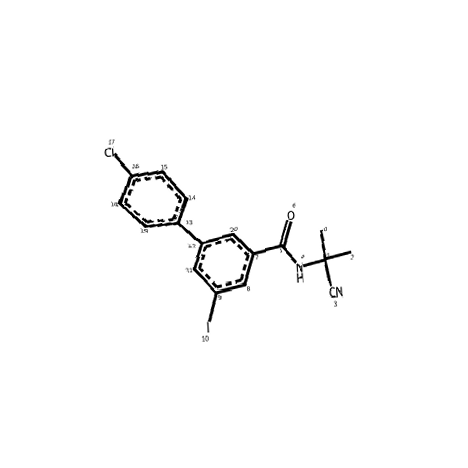 CC(C)(C#N)NC(=O)c1cc(I)cc(-c2ccc(Cl)cc2)c1